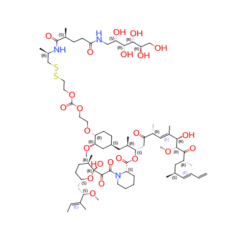 C=C/C=C/[C@@H](C)C[C@@H](C)C(=O)[C@H](OC)[C@H](O)/C(C)=C/[C@@H](C)C(=O)C[C@H](OC(=O)[C@@H]1CCCCN1C(=O)C(=O)[C@]1(O)O[C@H](C[C@H](OC)/C(C)=C/C)CC[C@H]1C)[C@H](C)C[C@@H]1CC[C@@H](OCCOC(=O)OCCSSC[C@@H](C)NC(=O)[C@@H](C)CCC(=O)NC[C@H](O)[C@@H](O)[C@H](O)[C@H](O)CO)[C@H](OC)C1